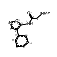 CNCC(=O)Nc1oncc1-c1ccccc1